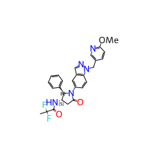 COc1ccc(Cn2ncc3cc(N4C(=O)C[C@H](NC(=O)C(C)(F)F)[C@H]4c4ccccc4)ccc32)cn1